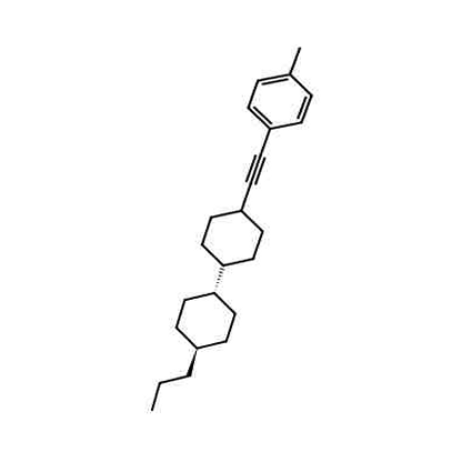 CCC[C@H]1CC[C@H](C2CCC(C#Cc3ccc(C)cc3)CC2)CC1